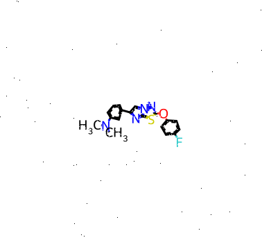 CN(C)c1cccc(-c2cn3nc(Oc4ccc(F)cc4)sc3n2)c1